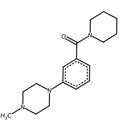 CN1CCN(c2cccc(C(=O)N3CCCCC3)c2)CC1